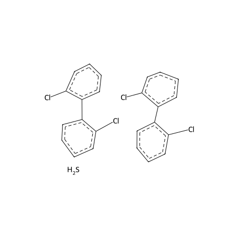 Clc1ccccc1-c1ccccc1Cl.Clc1ccccc1-c1ccccc1Cl.S